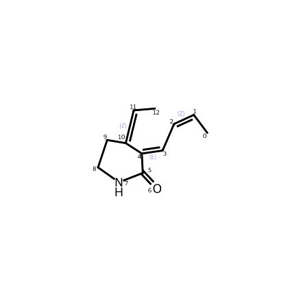 C\C=C/C=C1/C(=O)NCC/C1=C/C